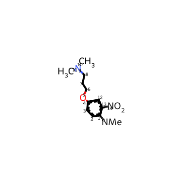 CNc1ccc(OCCCN(C)C)cc1[N+](=O)[O-]